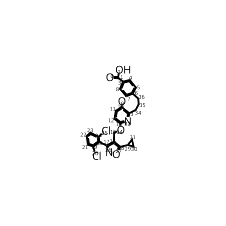 O=C(O)c1ccc2c(c1)Oc1ccc(OCc3c(-c4c(Cl)cccc4Cl)noc3C3CC3)nc1CCC2